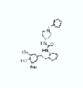 CC(C)(C)c1cc(CCc2ccccc2NC(=O)NC2CCN(Cc3ccccc3)CC2)cc(C(C)(C)C)c1O